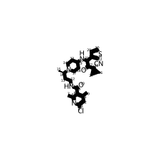 Cc1cc(Cl)nc(C)c1C(=O)NCC[C@@H](C)N1CCC(NC(C(=O)C2(C#N)CC2)c2ccsc2)CC1